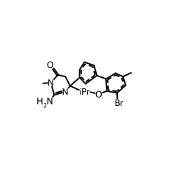 Cc1cc(Br)c(OC(C)C)c(-c2cccc(C3(C)CC(=O)N(C)C(N)=N3)c2)c1